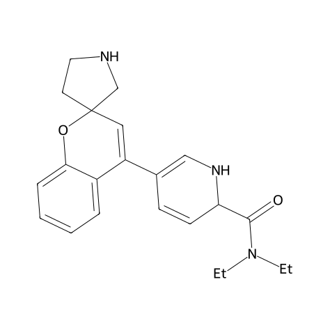 CCN(CC)C(=O)C1C=CC(C2=CC3(CCNC3)Oc3ccccc32)=CN1